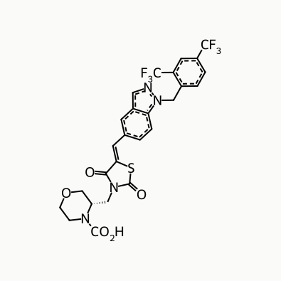 O=C1S/C(=C\c2ccc3c(cnn3Cc3ccc(C(F)(F)F)cc3C(F)(F)F)c2)C(=O)N1C[C@H]1COCCN1C(=O)O